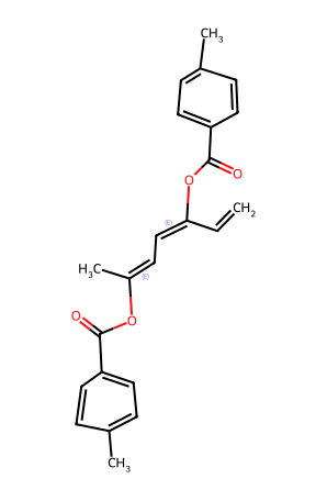 C=C/C(=C\C=C(/C)OC(=O)c1ccc(C)cc1)OC(=O)c1ccc(C)cc1